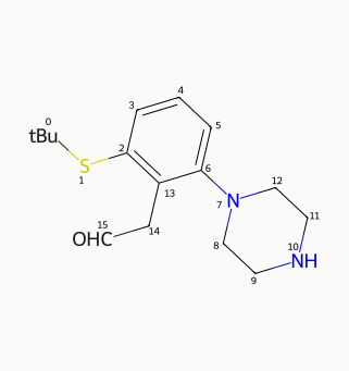 CC(C)(C)Sc1cccc(N2CCNCC2)c1CC=O